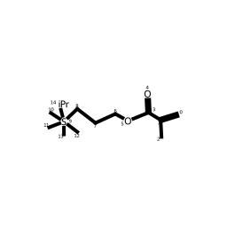 C=C(C)C(=O)OCCCS(C)(C)(C)(C)C(C)C